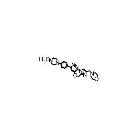 CN1CCN(c2ccc(-c3cc4c(nn3)-n3cc(CN5CCOCC5)nc3CO4)cc2)CC1